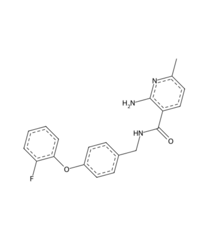 Cc1ccc(C(=O)NCc2ccc(Oc3ccccc3F)cc2)c(N)n1